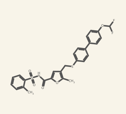 Cc1ccccc1S(=O)(=O)NC(=O)c1cc(CSc2ccc(-c3ccc(OC(F)F)cc3)cc2)c(C)o1